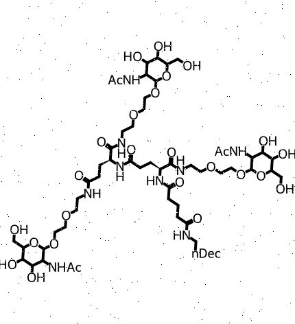 CCCCCCCCCCCNC(=O)CCCC(=O)N[C@@H](CCC(=O)N[C@@H](CCC(=O)NCCOCCOC1OC(CO)C(O)C(O)C1NC(C)=O)C(=O)NCCOCCOC1OC(CO)C(O)C(O)C1NC(C)=O)C(=O)NCCOCCOC1OC(CO)C(O)C(O)C1NC(C)=O